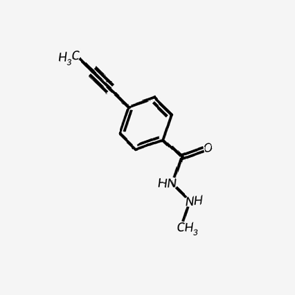 CC#Cc1ccc(C(=O)NNC)cc1